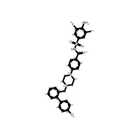 Nc1c(F)cc(S(=O)(=O)NC(=O)c2ccc(N3CCN(Cc4ccccc4-c4ccc(Cl)cc4)CC3)cc2)cc1F